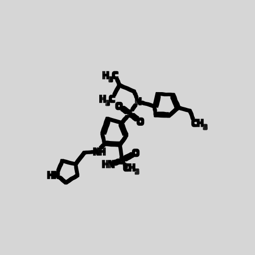 CCc1ccc(N(CC(C)C)S(=O)(=O)c2ccc(NCC3CCNC3)c(S(C)(=N)=O)c2)cc1